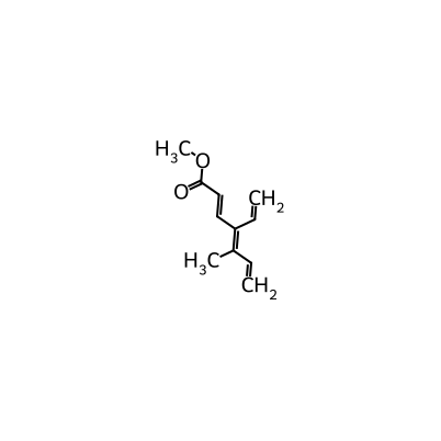 C=C/C(C)=C(C=C)/C=C/C(=O)OC